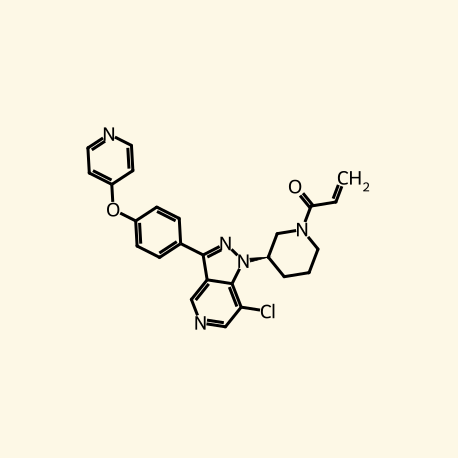 C=CC(=O)N1CCC[C@@H](n2nc(-c3ccc(Oc4ccncc4)cc3)c3cncc(Cl)c32)C1